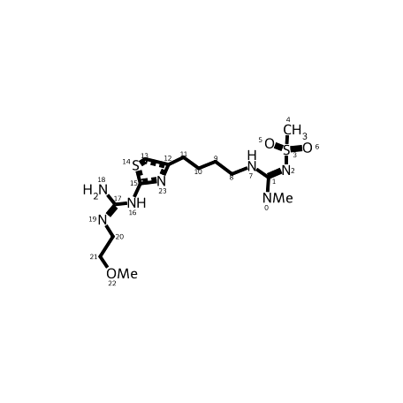 CN/C(=N/S(C)(=O)=O)NCCCCc1csc(N/C(N)=N\CCOC)n1